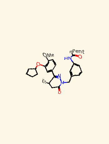 CCCCCC(=O)Nc1cccc(CN2N=C(c3ccc(OC)c(OC4CCCC4)c3)C(CC)CC2=O)c1